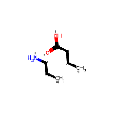 CCCC(=O)O.CCCN